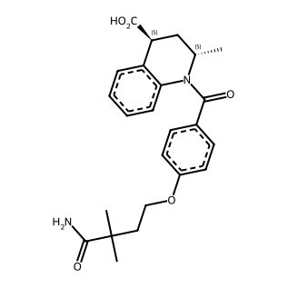 C[C@H]1C[C@H](C(=O)O)c2ccccc2N1C(=O)c1ccc(OCCC(C)(C)C(N)=O)cc1